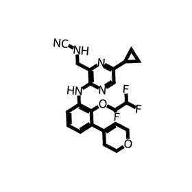 N#CNCc1nc(C2CC2)cnc1Nc1cccc(C2=CCOCC2)c1OC(F)C(F)F